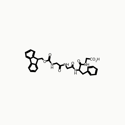 O=C(O)CNC(=O)C(Cc1ccccc1)NC(=O)CNC(=O)CNC(=O)OCC1c2ccccc2-c2ccccc21